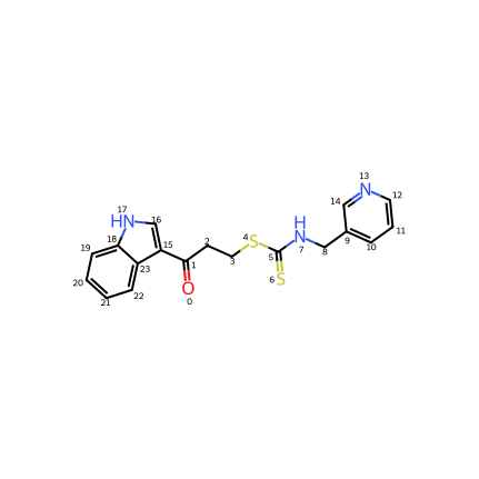 O=C(CCSC(=S)NCc1cccnc1)c1c[nH]c2ccccc12